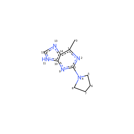 Cc1nc(N2CCCC2)nc2[nH]cnc12